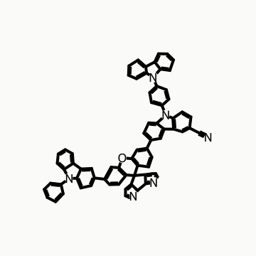 N#Cc1ccc2c(c1)c1cc(-c3ccc4c(c3)Oc3cc(-c5ccc6c(c5)c5ccccc5n6-c5ccccc5)ccc3C43c4cccnc4-c4ncccc43)ccc1n2-c1ccc(-n2c3ccccc3c3ccccc32)cc1